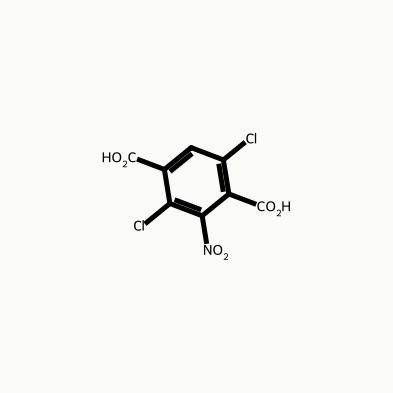 O=C(O)c1cc(Cl)c(C(=O)O)c([N+](=O)[O-])c1Cl